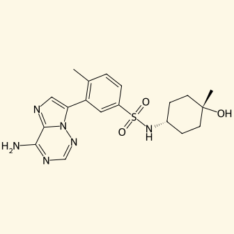 Cc1ccc(S(=O)(=O)N[C@H]2CC[C@@](C)(O)CC2)cc1-c1cnc2c(N)ncnn12